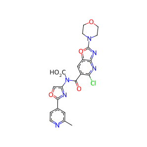 Cc1cc(-c2nc(N(C(=O)O)C(=O)c3cc4oc(N5CCOCC5)nc4nc3Cl)co2)ccn1